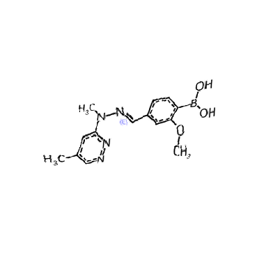 COc1cc(/C=N/N(C)c2cc(C)cnn2)ccc1B(O)O